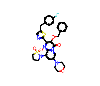 O=c1c(OCc2ccccc2)c(-c2ncc(Cc3ccc(F)cc3)s2)nc2c(N3CCCS3(=O)=O)cc(N3CCOCC3)cn12